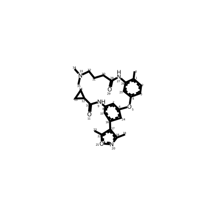 Cc1ccc(Oc2cc(NC(=O)C3CC3)cc(-c3c(C)noc3C)c2)cc1NC(=O)CCCN(C)C